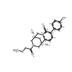 CSCC(=O)N1C[C@@H]2C[C@H](C1)c1ccc(-c3ccc(Cl)cc3)c(=O)n1C2